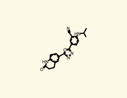 CC(C)Nc1ccc(-c2nnc(-c3ccc4c(c3)CCC(=O)N4)o2)cc1C#N